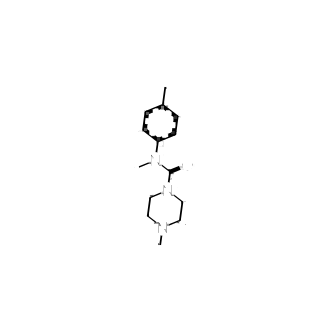 Cc1ccc(N(C)C(=O)N2CCN(C)CC2)cc1